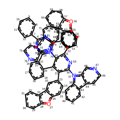 c1ccc(-c2nc(-c3ccccc3)nc(-c3ccccc3-c3c(-c4ccc5oc6ccccc6c5c4)c(-n4c5ccccc5c5ccncc54)nc(-c4ccc5oc6ccccc6c5c4)c3-n3c4ccccc4c4ccncc43)n2)cc1